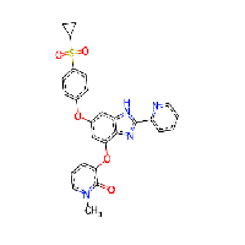 Cn1cccc(Oc2cc(Oc3ccc(S(=O)(=O)C4CC4)cc3)cc3[nH]c(-c4ccccn4)nc23)c1=O